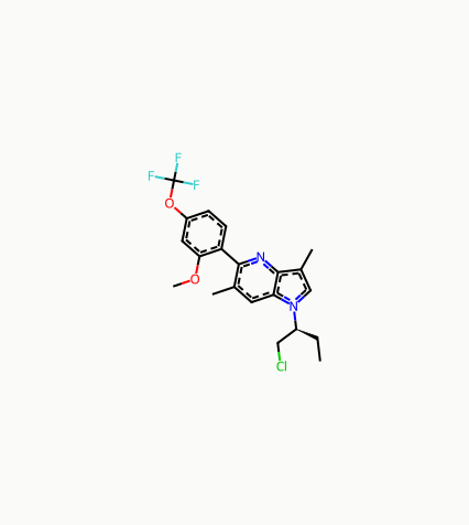 CC[C@@H](CCl)n1cc(C)c2nc(-c3ccc(OC(F)(F)F)cc3OC)c(C)cc21